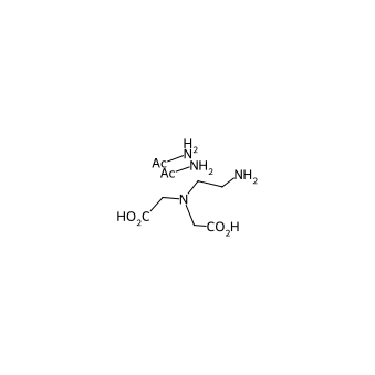 CC(N)=O.CC(N)=O.NCCN(CC(=O)O)CC(=O)O